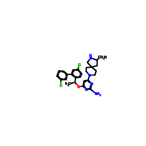 Nc1nc(O[C@H](c2ccc(Cl)cc2-c2cccc(Cl)c2)C(F)(F)F)cc(N2CCC3(CC2)CNC(C(=O)O)C3)n1